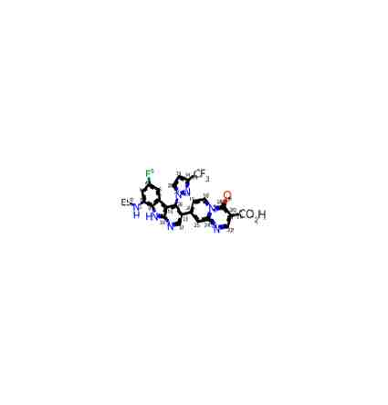 CCNc1cc(F)cc2c1[nH]c1ncc(-c3ccn4c(=O)c(C(=O)O)cnc4c3)c(-n3ccc(C(F)(F)F)n3)c12